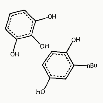 CCCCc1cc(O)ccc1O.Oc1cccc(O)c1O